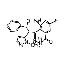 Cn1nccc1C1c2n[nH]c(=O)c3cc(F)cc(c23)NOC1c1ccccc1